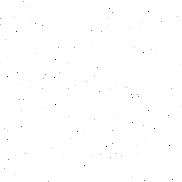 Cn1c(=O)n(CC(C)(C)C)c2ccc(C3CCC(C)(C)C(NC(=O)CCc4ccccn4)C3)nc21